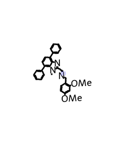 COc1ccc(C/N=C/c2nc3c(-c4ccccc4)ccc(-c4ccccc4)c3n2C)c(OC)c1